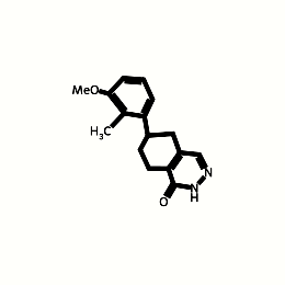 COc1cccc(C2CCc3c(cn[nH]c3=O)C2)c1C